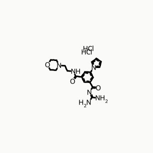 Cl.Cl.NC(N)=NC(=O)c1cc(C(=O)NCCN2CCOCC2)cc(-n2cccc2)c1